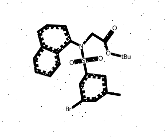 Cc1cc(Br)cc(S(=O)(=O)N(CC(=O)OC(C)(C)C)c2cccc3ccccc23)c1